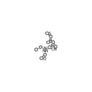 N#Cc1cc(-c2nc(-c3cccc(-c4ccccc4)c3)nc(-c3ccc4oc5ccccc5c4c3)n2)ccc1-n1c2ccccc2c2ccc3c(c4ccccc4n3-c3ccc4sc5ccccc5c4c3)c21